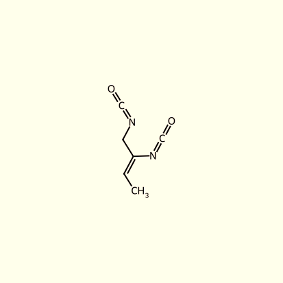 CC=C(CN=C=O)N=C=O